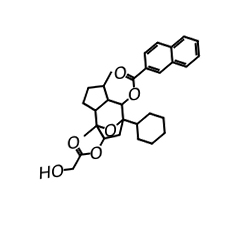 CC1CCC2C1C(OC(=O)c1ccc3ccccc3c1)C1(C3CCCCC3)CC(OC(=O)CO)C2(C)O1